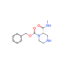 CNC(=O)[C@@H]1CNCCN1C(=O)OCc1ccccc1